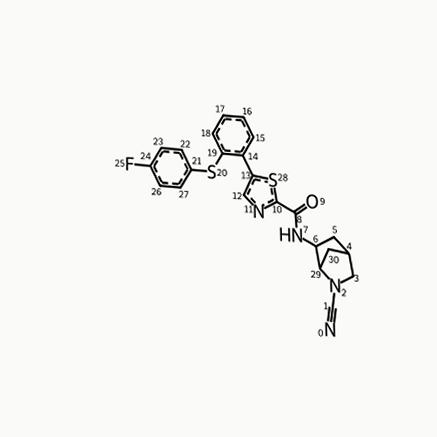 N#CN1CC2CC(NC(=O)c3ncc(-c4ccccc4Sc4ccc(F)cc4)s3)C1C2